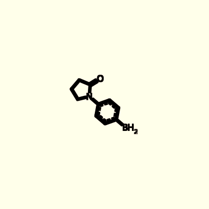 Bc1ccc(N2CCCC2=O)cc1